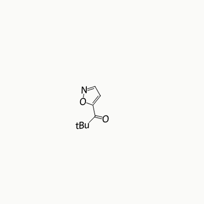 CC(C)(C)C(=O)c1ccno1